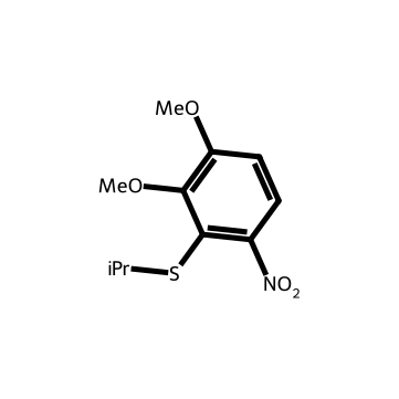 COc1ccc([N+](=O)[O-])c(SC(C)C)c1OC